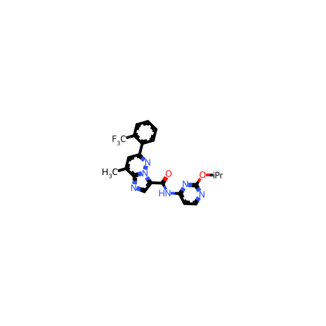 Cc1cc(-c2ccccc2C(F)(F)F)nn2c(C(=O)Nc3ccnc(OC(C)C)n3)cnc12